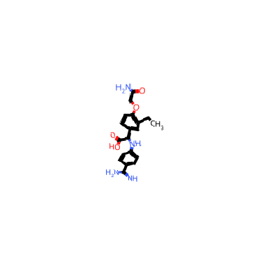 CCc1cc(C(Nc2ccc(C(=N)N)cc2)C(=O)O)ccc1OCC(N)=O